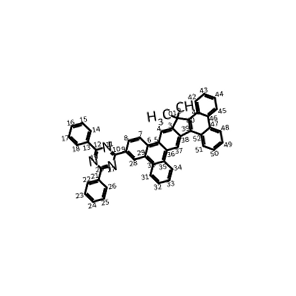 CC1(C)c2cc3c4ccc(-c5nc(-c6ccccc6)nc(-c6ccccc6)n5)cc4c4ccccc4c3cc2-c2c1c1ccccc1c1ccccc21